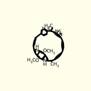 CC[C@]1(C)c2ccc(cc2)-c2ccc(cc2)-c2cc3c(OC)c4[nH]c(cc4c(OC)c3[nH]2)C(C)c2ccc(cc2)-c2ccc(cc2)-c2ccc1c1nsnc21